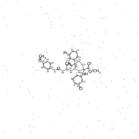 COC(=O)C1(Nc2cccc(Cl)c2)CCC2(C=Cc3c(F)cccc32)C(CC(C)COCc2ccc(OC)cc2)C1